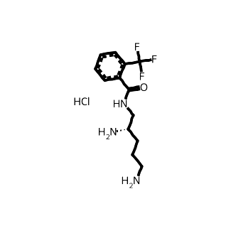 Cl.NCCC[C@H](N)CNC(=O)c1ccccc1C(F)(F)F